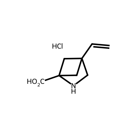 C=CC12CNC(C(=O)O)(C1)C2.Cl